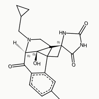 COc1ccc2c(c1)C13CCN(CC4CC4)[C@H](C2=O)[C@]1(O)CC[C@@]1(C3)NC(=O)NC1=O